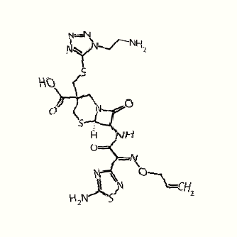 C=CCON=C(C(=O)NC1C(=O)N2CC(CSc3nnnn3CCN)(C(=O)O)CS[C@H]12)c1nsc(N)n1